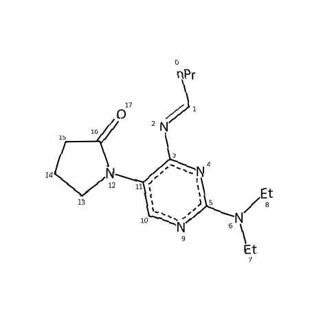 [CH2]CCC=Nc1nc(N(CC)CC)ncc1N1CCCC1=O